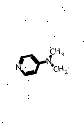 [CH2]N(C)c1ccncc1